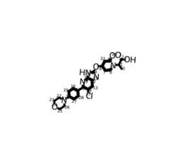 CC(C(=O)O)n1ccc(Oc2nc3cc(Cl)c(-c4ccc(N5CCOCC5)cc4)nc3[nH]2)cc1=O